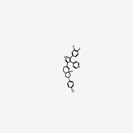 CCc1ccc([C@@H]2C[C@H]3C=C(c4c[nH]c(-c5ccc(F)c(F)c5)c4-c4ccncc4)CCN3C2)cc1